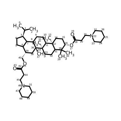 CC(C)[C@@H]1CCC2C1C1CCC3[C@@]4(C)CC[C@H](OC(=O)CCN5CCCCC5)C(C)(C)C4CC[C@@]3(C)[C@]1(C)C[C@@H]2COC(=O)CCN1CCCCC1